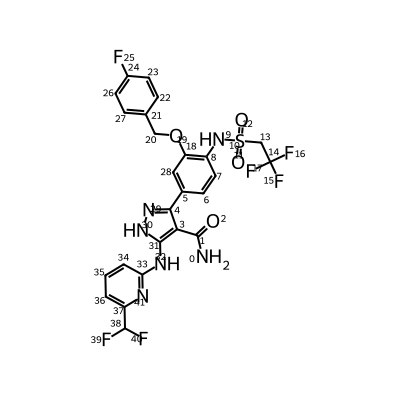 NC(=O)c1c(-c2ccc(NS(=O)(=O)CC(F)(F)F)c(OCc3ccc(F)cc3)c2)n[nH]c1Nc1cccc(C(F)F)n1